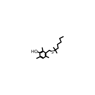 CCCCCC(C)(C)SCc1c(C)cc(C)c(O)c1C